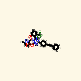 Cc1cccc(COc2cccc(C(F)(F)F)c2-c2nc(O)nc(C3=CCC(C#Cc4ccccc4)C=C3)n2)n1